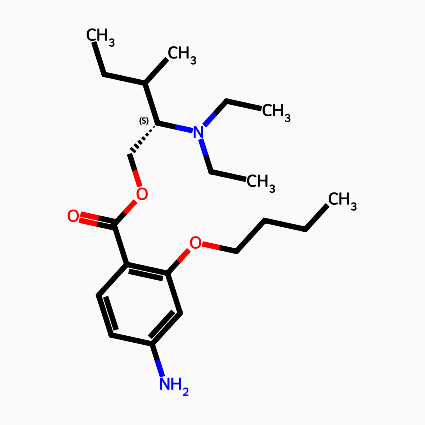 CCCCOc1cc(N)ccc1C(=O)OC[C@H](C(C)CC)N(CC)CC